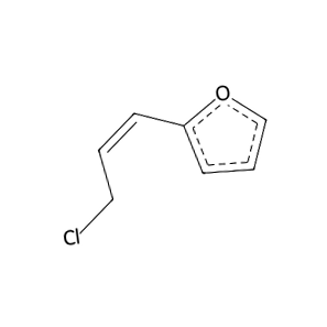 ClC/C=C\c1ccco1